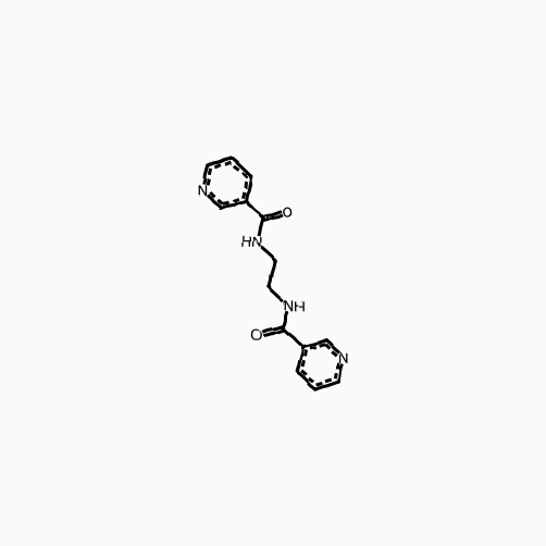 O=C(NCCNC(=O)c1cccnc1)c1cccnc1